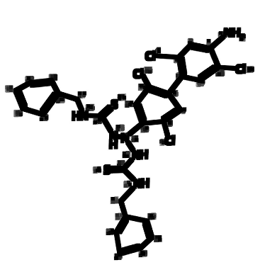 Nc1cc(Cl)c(-c2cc(Cl)c(N(NC(=S)NCc3ccccc3)NC(=S)NCc3ccccc3)cc2Cl)cc1Cl